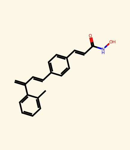 C=C(/C=C/c1ccc(/C=C/C(=O)NO)cc1)c1ccccc1C